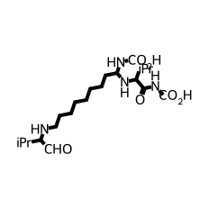 CC(C)C(C=O)NCCCCCCCCC(NC(=O)O)NC(C(=O)NC(=O)O)C(C)C